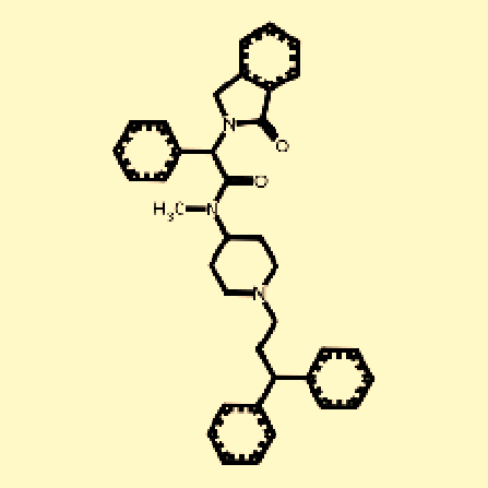 CN(C(=O)C(c1ccccc1)N1Cc2ccccc2C1=O)C1CCN(CCC(c2ccccc2)c2ccccc2)CC1